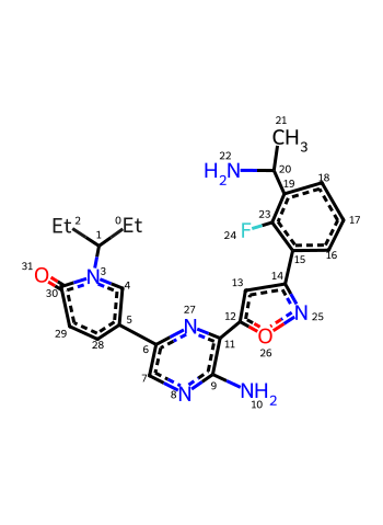 CCC(CC)n1cc(-c2cnc(N)c(-c3cc(-c4cccc(C(C)N)c4F)no3)n2)ccc1=O